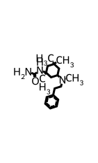 CN(CCc1ccccc1)C1CC(C)(C)CC(C)(NC(N)=O)C1